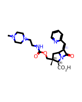 CN1CCN(CCNC(=O)OC[C@]2(C)CC3/C(=C\c4ccccn4)C(=O)N3[C@H]2C(=O)O)CC1